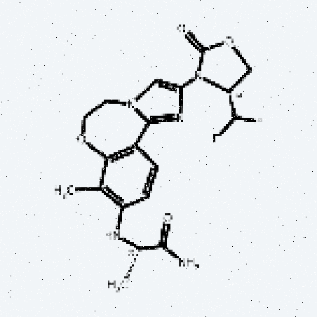 Cc1c(N[C@@H](C)C(N)=O)ccc2c1OCCn1cc(N3C(=O)OC[C@H]3C(F)F)nc1-2